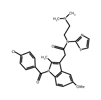 COc1ccc2c(c1)c(CC(=O)N(CCN(C)C)c1nccs1)c(C)n2C(=O)c1ccc(Cl)cc1